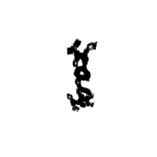 CC(C)C(=O)c1c[nH]c2ncc(Oc3ccc(/C=C(/C#N)C(=O)N(C)C)cc3)nc12